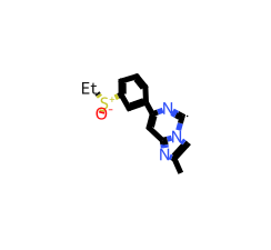 CC[S+]([O-])c1cccc(-c2cc3nc(C)cn3[c]n2)c1